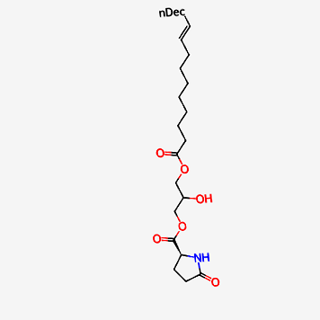 CCCCCCCCCCC=CCCCCCCCC(=O)OCC(O)COC(=O)[C@@H]1CCC(=O)N1